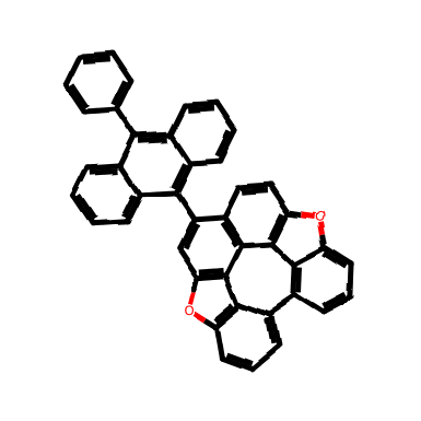 c1ccc(-c2c3ccccc3c(-c3cc4oc5cccc6c5c4c4c3ccc3oc5cccc-6c5c34)c3ccccc23)cc1